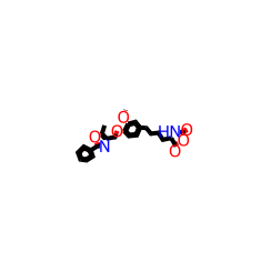 COc1cc(CCCCC2NC(=O)OC2=O)ccc1OCc1nc(-c2ccccc2)oc1C